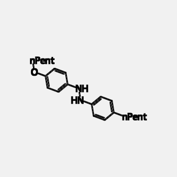 CCCCCOc1ccc(NNc2ccc(CCCCC)cc2)cc1